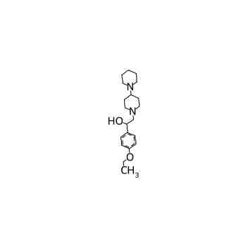 CCOc1ccc(C(O)CN2CCC(N3CCCCC3)CC2)cc1